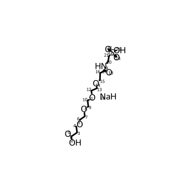 O=C(O)CCOCCOCCOCCOCCC(=O)NCCS(=O)(=O)O.[NaH]